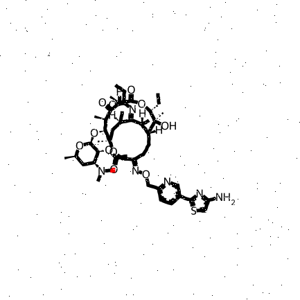 CCC(=O)/N=C1\[C@H](C)C[C@@]2(C)OC/C(=N/OCc3ccc(-c4nc(N)cs4)cn3)CC[C@H]([C@H]1C)[C@](C)(O)[C@@H](CC)OC(=O)[C@@](C)(F)C(=O)[C@H](C)[C@H]2O[C@@H]1O[C@H](C)C[C@H](N(C)C)[C@H]1OC(C)=O